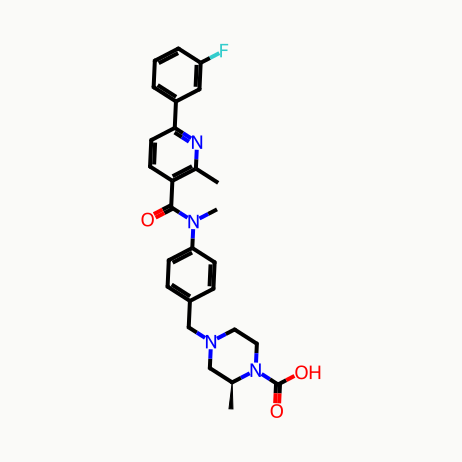 Cc1nc(-c2cccc(F)c2)ccc1C(=O)N(C)c1ccc(CN2CCN(C(=O)O)[C@@H](C)C2)cc1